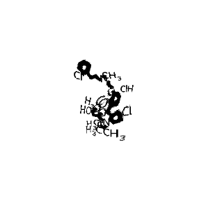 COc1c(OCCCN(C)CCCc2ccccc2Cl)cccc1C1OC(CC(=O)O)C(=O)N(CC(C)(C)C)c2ccc(Cl)cc21.Cl